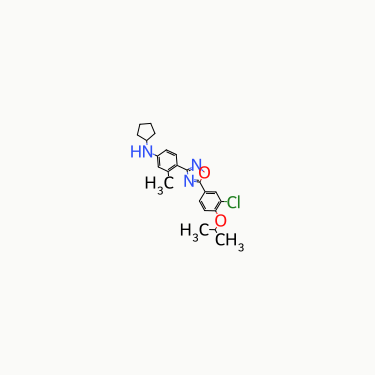 Cc1cc(NC2CCCC2)ccc1-c1noc(-c2ccc(OC(C)C)c(Cl)c2)n1